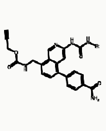 C#CCOC(=O)NCc1ccc(-c2ccc(C(N)=O)cc2)c2cc(NC(=O)NCC)ncc12